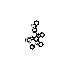 c1ccc(-n2c3ccccc3c3c4c5ccccc5n(-c5ccc6sc7ccccc7c6c5)c4c4sc5cncnc5c4c32)cc1